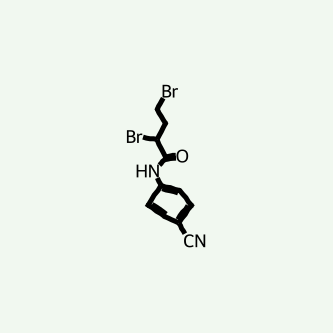 N#Cc1ccc(NC(=O)C(Br)CCBr)cc1